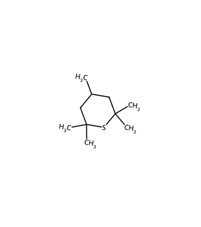 CC1CC(C)(C)SC(C)(C)C1